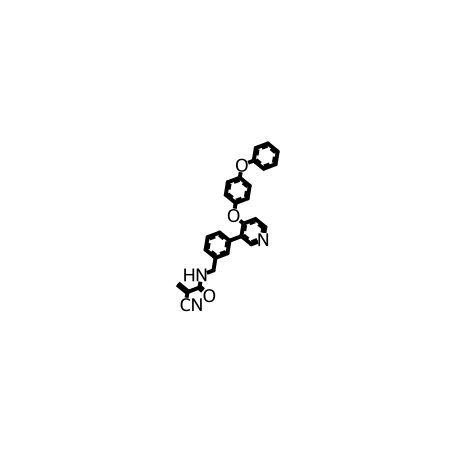 C=C(C#N)C(=O)NCc1cccc(-c2cnccc2Oc2ccc(Oc3ccccc3)cc2)c1